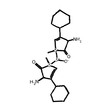 CS1([S+]([O-])S2(C)C=C(C3CCCCC3)C(N)C2=O)C=C(C2CCCCC2)C(N)C1=O